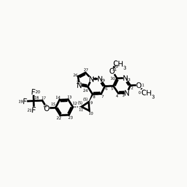 COc1ncc(-c2cc([C@H]3C[C@@H]3c3ccc(OCC(F)(F)F)cc3)c3nccn3n2)c(OC)n1